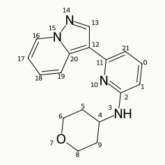 c1cc(NC2CCOCC2)nc(-c2cnn3ccccc23)c1